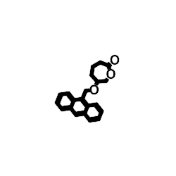 O=C1CCCC(OCc2c3ccccc3cc3ccccc23)CO1